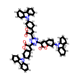 O=c1oc2cc(-n3c4ccccc4c4ccccc43)ccc2cc1-c1nc(-c2cc3ccc(-n4c5ccccc5c5ccccc54)cc3oc2=O)nc(-c2cc3ccc(-n4c5ccccc5c5ccccc54)cc3oc2=O)n1